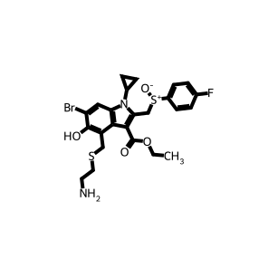 CCOC(=O)c1c(C[S+]([O-])c2ccc(F)cc2)n(C2CC2)c2cc(Br)c(O)c(CSCCN)c12